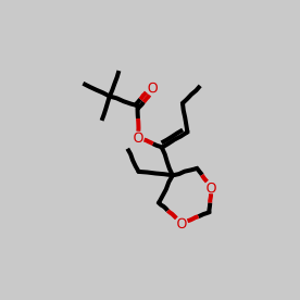 CCC=C(OC(=O)C(C)(C)C)C1(CC)COCOC1